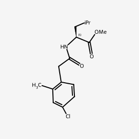 COC(=O)[C@H](CC(C)C)NC(=O)Cc1ccc(Cl)cc1C